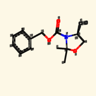 CC1(C)OC[C@H](C=O)N1C(=O)OCc1ccccc1